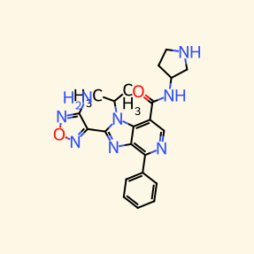 CC(C)n1c(-c2nonc2N)nc2c(-c3ccccc3)ncc(C(=O)NC3CCNC3)c21